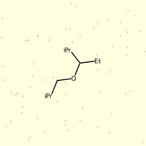 [CH2]CC(OCC(C)C)C(C)C